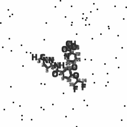 Cn1ccc(NC(=O)c2ccc(OC(CF)CF)c(Oc3ccc(S(C)(=O)=O)nc3)c2)n1